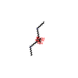 CCCCCCCC/C=C\CCCCCCCC(=O)OC(CC)(OC(=O)CCCCCCC/C=C\CCCCCCCC)C(O)(CO)C(CO)CO